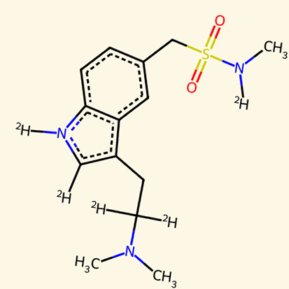 [2H]c1c(CC([2H])([2H])N(C)C)c2cc(CS(=O)(=O)N([2H])C)ccc2n1[2H]